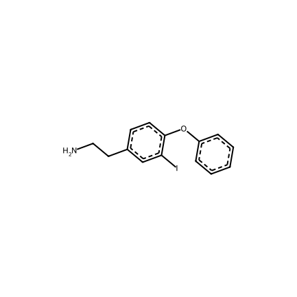 NCCc1ccc(Oc2ccccc2)c(I)c1